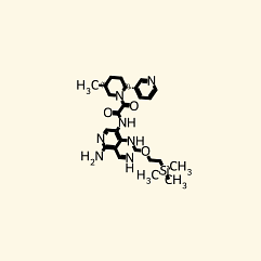 C[C@H]1CC[C@H](c2cccnc2)N(C(=O)C(=O)Nc2cnc(N)c(C=N)c2NCOCC[Si](C)(C)C)C1